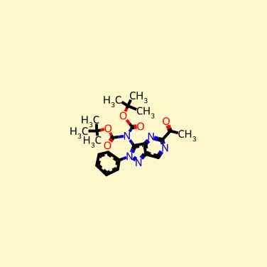 CC(=O)c1ncc2nn(-c3ccccc3)c(N(C(=O)OC(C)(C)C)C(=O)OC(C)(C)C)c2n1